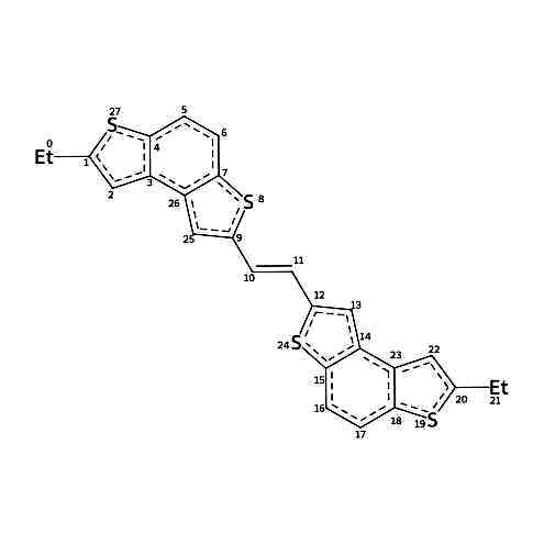 CCc1cc2c(ccc3sc(/C=C/c4cc5c(ccc6sc(CC)cc65)s4)cc32)s1